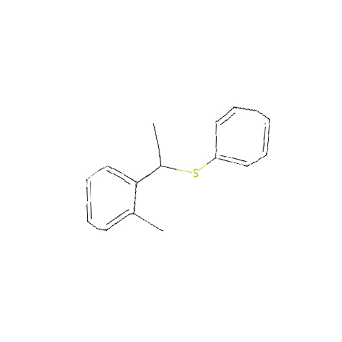 Cc1ccccc1C(C)Sc1ccccc1